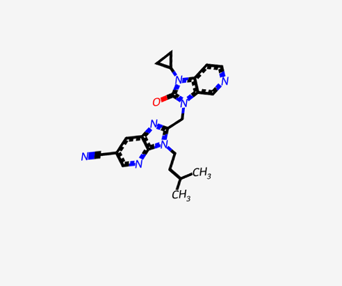 CC(C)CCn1c(Cn2c(=O)n(C3CC3)c3ccncc32)nc2cc(C#N)cnc21